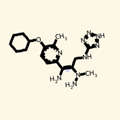 Cc1nc(/C(N)=C(\CNc2nn[nH]n2)N(C)N)ccc1OC1CCCCC1